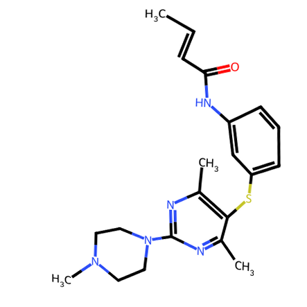 C/C=C/C(=O)Nc1cccc(Sc2c(C)nc(N3CCN(C)CC3)nc2C)c1